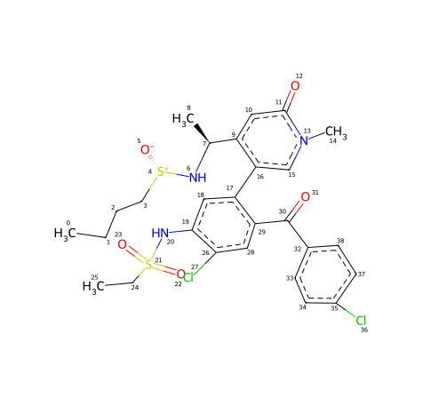 CCCC[S@+]([O-])N[C@@H](C)c1cc(=O)n(C)cc1-c1cc(NS(=O)(=O)CC)c(Cl)cc1C(=O)c1ccc(Cl)cc1